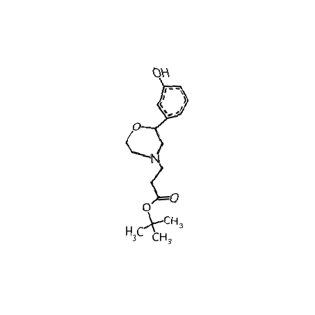 CC(C)(C)OC(=O)CCN1CCOC(c2cccc(O)c2)C1